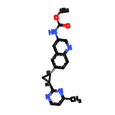 Cc1ccnc([C@H]2C[C@@H]2c2ccc3ncc(NC(=O)OC(C)(C)C)cc3c2)n1